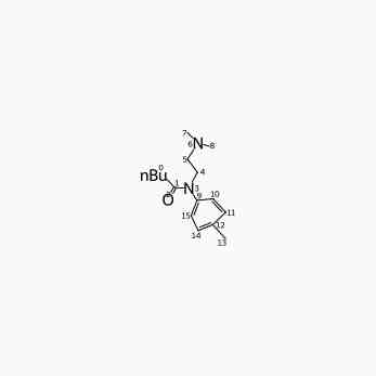 CCCCC(=O)N(CCN(C)C)c1ccc(C)cc1